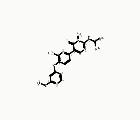 CSc1cc(Oc2ccc(-c3cnc(NC(C)C)n(C)c3=O)nc2C)ccn1